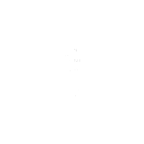 COc1ccc2c(c1)C(=O)C(C(=O)Nc1ccccn1)CCO2